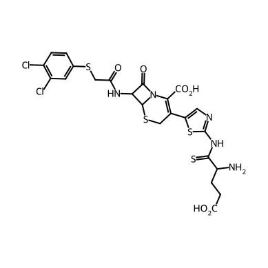 NC(CCC(=O)O)C(=S)Nc1ncc(C2=C(C(=O)O)N3C(=O)C(NC(=O)CSc4ccc(Cl)c(Cl)c4)C3SC2)s1